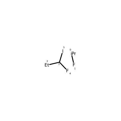 CC(C)F.CCC(F)I